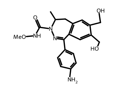 CONC(=O)N1N=C(c2ccc(N)cc2)c2cc(CO)c(CO)cc2CC1C